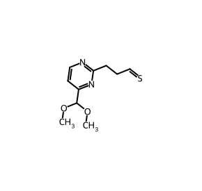 COC(OC)c1ccnc(CCC=S)n1